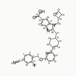 N#Cc1ccc(COc2cccc(C3=CCC(Cc4nc5sc(C(=O)O)cc5n4CC4CCO4)CC3)n2)c(F)c1